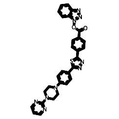 O=C(On1nnc2ccccc21)c1ccc(-c2nnc(-c3ccc(N4CCN(c5ncccn5)CC4)cc3)s2)cc1